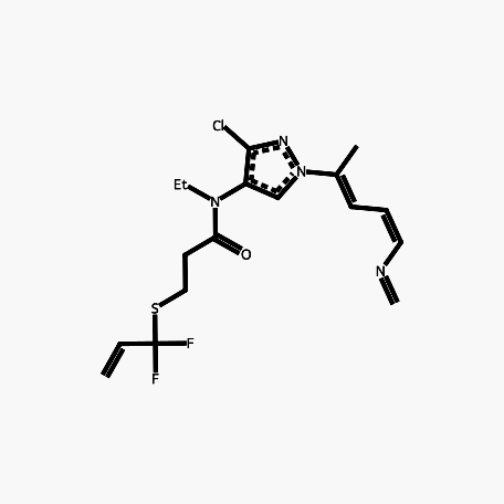 C=CC(F)(F)SCCC(=O)N(CC)c1cn(/C(C)=C/C=C\N=C)nc1Cl